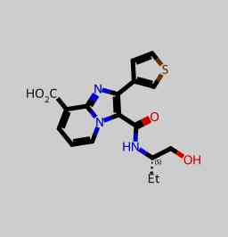 CC[C@@H](CO)NC(=O)c1c(-c2ccsc2)nc2c(C(=O)O)cccn12